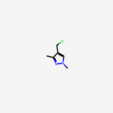 Cc1nn(C)cc1CCl